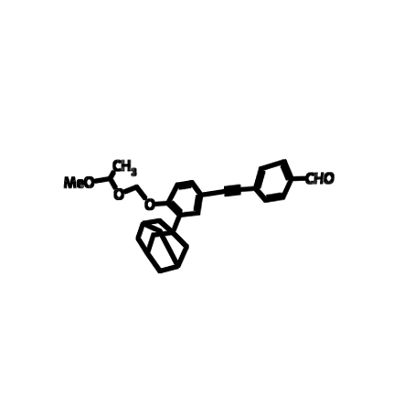 COC(C)OCOc1ccc(C#Cc2ccc(C=O)cc2)cc1C12CC3CC(CC(C3)C1)C2